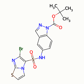 CC(C)(C)OC(=O)n1ncc2cc(NS(=O)(=O)c3c(Br)nc4sccn34)ccc21